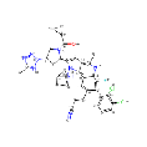 Cc1nnn(C2CC(c3cc4c(C)nc5c(F)c(-c6cccc(Cl)c6Cl)c(CCC#N)cc5c4n3C3C4CNC3C4)N(C(=O)C3CC3)C2)n1